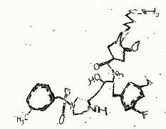 CCCCN1CC(C(=O)NC(Cc2cc(F)cc(F)c2)[C@H](O)[C@H]2CN(S(=O)(=O)c3cccc(C)c3)CCN2)CC1=O